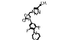 C#Cc1cn(CC2CN(c3cc(F)c(N4CCCOCC4)c(F)c3)C(=O)O2)nn1